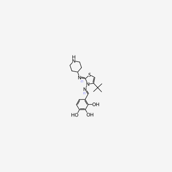 CC(C)(C)c1cs/c(=N\C2CCNCC2)n1/N=C/c1ccc(O)c(O)c1O